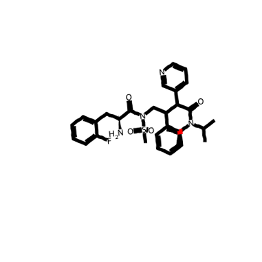 CC(C)N(C(=O)C(c1cccnc1)C(CN(C(=O)[C@@H](N)Cc1ccccc1F)S(C)(=O)=O)c1ccccc1)C(C)C